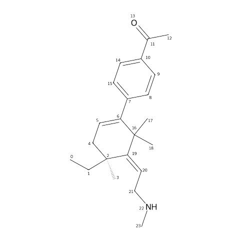 CC[C@@]1(C)CC=C(c2ccc(C(C)=O)cc2)C(C)(C)/C1=C/CNC